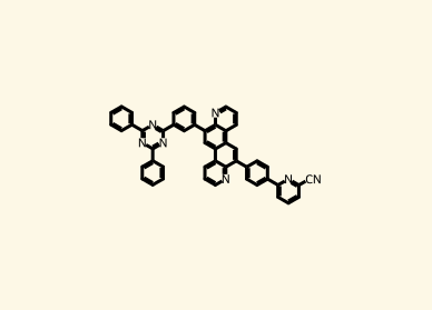 N#Cc1cccc(-c2ccc(-c3cc4c5cccnc5c(-c5cccc(-c6nc(-c7ccccc7)nc(-c7ccccc7)n6)c5)cc4c4cccnc34)cc2)n1